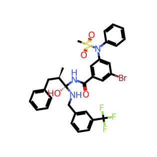 C[C@H](Cc1ccccc1)[C@](O)(NCc1cccc(C(F)(F)F)c1)NC(=O)c1cc(Br)cc(N(c2ccccc2)S(C)(=O)=O)c1